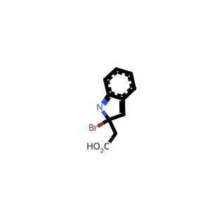 O=C(O)CC1(Br)C=c2ccccc2=N1